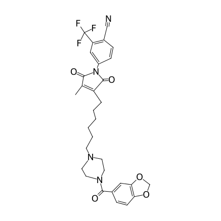 CC1=C(CCCCCCN2CCN(C(=O)c3ccc4c(c3)OCO4)CC2)C(=O)N(c2ccc(C#N)c(C(F)(F)F)c2)C1=O